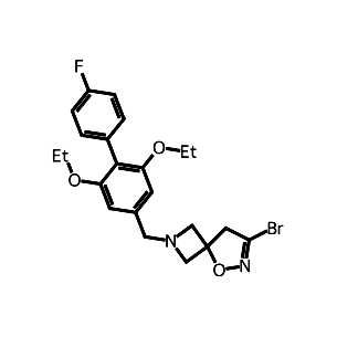 CCOc1cc(CN2CC3(CC(Br)=NO3)C2)cc(OCC)c1-c1ccc(F)cc1